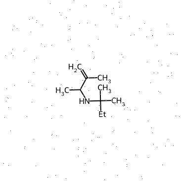 C=C(C)C(C)NC(C)(C)CC